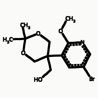 COc1ncc(Br)cc1C1(CO)COC(C)(C)OC1